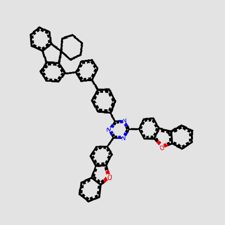 c1cc(-c2ccc(-c3nc(-c4ccc5c(c4)oc4ccccc45)nc(-c4ccc5c(c4)oc4ccccc45)n3)cc2)cc(-c2cccc3c2C2(CCCCC2)c2ccccc2-3)c1